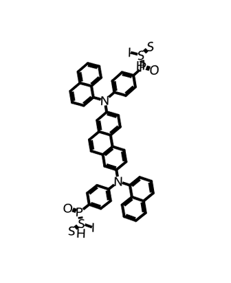 O=P(c1ccc(N(c2ccc3c(ccc4cc(N(c5ccc(P(=O)=[SH](=S)I)cc5)c5cccc6ccccc56)ccc43)c2)c2cccc3ccccc23)cc1)=[SH](=S)I